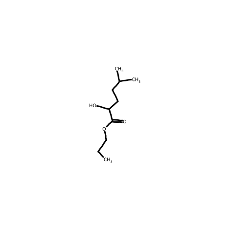 CCCOC(=O)C(O)CCC(C)C